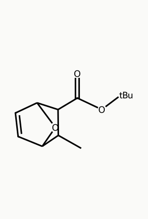 CC1C2C=CC(O2)C1C(=O)OC(C)(C)C